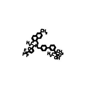 Cc1ccc2c(CN(Cc3ccc(-c4cccc(C(C)(C)C(=O)O)c4)cc3)Cc3ccc(C(F)(F)F)o3)c(C)ccc2c1